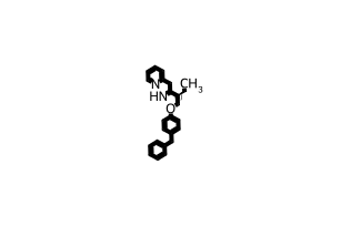 CC[C@@H](COc1ccc(Cc2ccccc2)cc1)C(=N)Cc1ccccn1